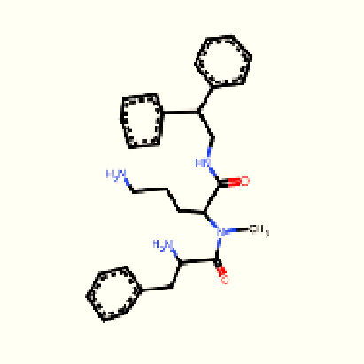 CN(C(=O)C(N)Cc1ccccc1)C(CCCN)C(=O)NCC(c1ccccc1)c1ccccc1